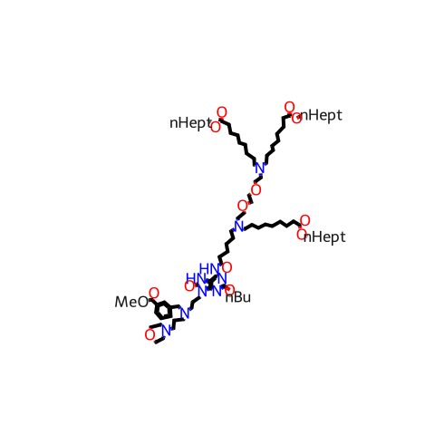 CCCCCCCOC(=O)CCCCCCCCN(CCCCCCCCC(=O)OCCCCCCC)CCOCCOCCN(CCCCCCCCC(=O)OCCCCCCC)CCCCCC(=O)Nc1nc(OCCCC)nc2c1[nH]c(=O)n2CCCN(CCCN1CCOCC1)Cc1cccc(C(=O)OC)c1